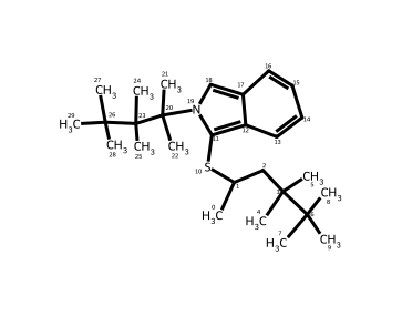 CC(CC(C)(C)C(C)(C)C)Sc1c2ccccc2cn1C(C)(C)C(C)(C)C(C)(C)C